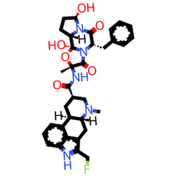 CN1C[C@H](C(=O)N[C@]2(C)O[C@@]3(O)[C@@H]4CC[C@@H](O)N4C(=O)[C@H](Cc4ccccc4)N3C2=O)C[C@@H]2c3cccc4[nH]c(CF)c(c34)C[C@H]21